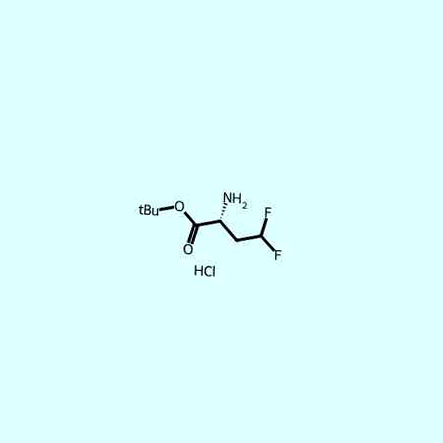 CC(C)(C)OC(=O)[C@H](N)CC(F)F.Cl